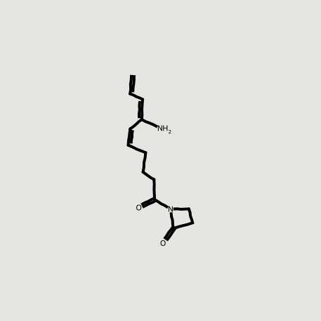 C=C/C=C(N)\C=C/CCCC(=O)N1CCC1=O